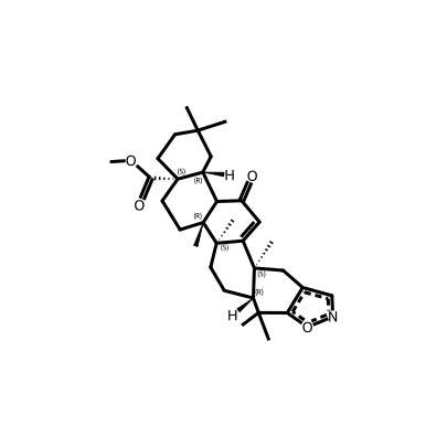 COC(=O)[C@]12CCC(C)(C)C[C@@H]1C1C(=O)C=C3[C@@]4(C)Cc5cnoc5C(C)(C)[C@@H]4CC[C@@]3(C)[C@]1(C)CC2